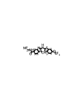 Cn1c(Nc2nc3ccc(OC(F)(F)F)cc3s2)nc2cc(C(=O)NCC#N)ccc21